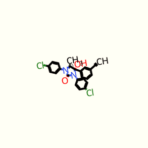 C#Cc1cccc(C2(O)[C@H](C)N(c3ccc(Cl)cc3)C(=O)N2c2ccc(Cl)cc2)c1